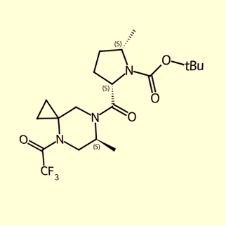 C[C@H]1CN(C(=O)C(F)(F)F)C2(CC2)CN1C(=O)[C@@H]1CC[C@H](C)N1C(=O)OC(C)(C)C